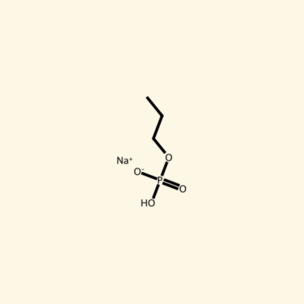 CCCOP(=O)([O-])O.[Na+]